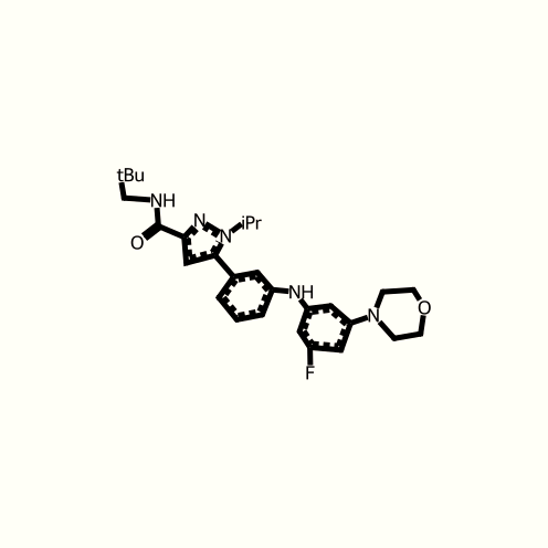 CC(C)n1nc(C(=O)NCC(C)(C)C)cc1-c1cccc(Nc2cc(F)cc(N3CCOCC3)c2)c1